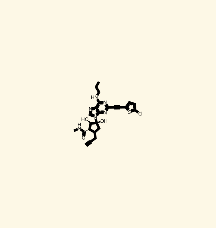 C#CCC1C[C@@](O)(n2cnc3c(NCCC)nc(C#Cc4ccc(Cl)s4)nc32)[C@H](O)[C@H]1C(=O)NC